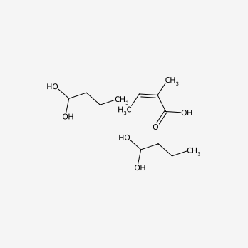 CC=C(C)C(=O)O.CCCC(O)O.CCCC(O)O